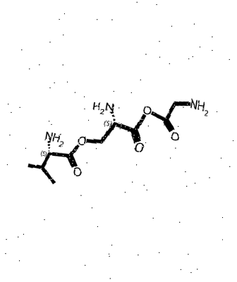 CC(C)[C@H](N)C(=O)OC[C@H](N)C(=O)OC(=O)CN